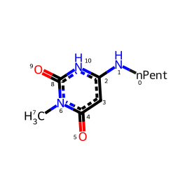 CCCCCNc1cc(=O)n(C)c(=O)[nH]1